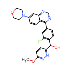 COc1ccc(C(O)c2ccc(-c3ncnc4cc(N5CCOCC5)ccc34)cc2F)nn1